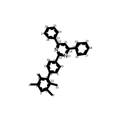 Cc1cc(C)c(C)c(-c2ccc(-c3nc(-c4ccccc4)cc(-c4ccccc4)n3)cc2)c1C